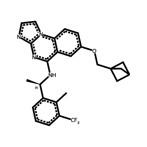 Cc1c([C@@H](C)Nc2nc3nccn3c3ccc(OCC45CC(C4)C5)cc23)cccc1C(F)(F)F